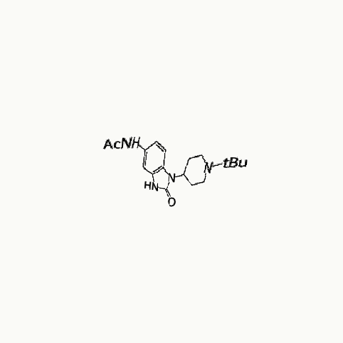 CC(=O)Nc1ccc2c(c1)[nH]c(=O)n2C1CCN(C(C)(C)C)CC1